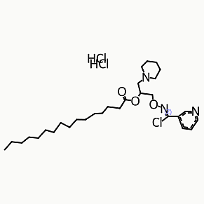 CCCCCCCCCCCCCCCC(=O)OC(CO/N=C(\Cl)c1cccnc1)CN1CCCCC1.Cl.Cl